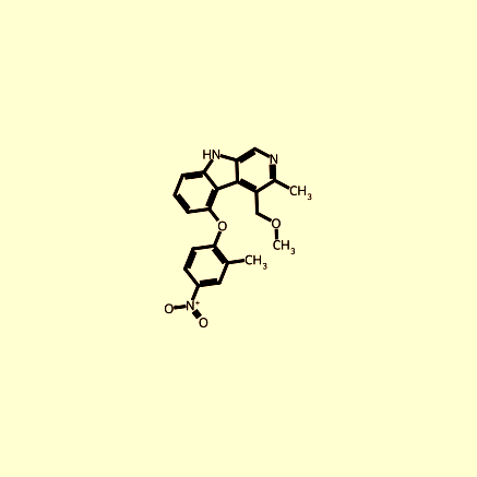 COCc1c(C)ncc2[nH]c3cccc(Oc4ccc([N+](=O)[O-])cc4C)c3c12